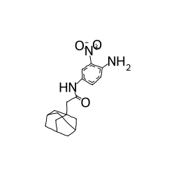 Nc1ccc(NC(=O)CC23CC4CC(CC(C4)C2)C3)cc1[N+](=O)[O-]